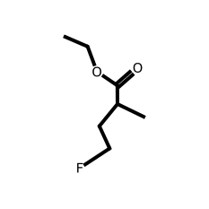 CCOC(=O)C(C)CCF